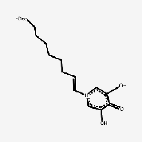 CCCCCCCCCCCCCCCCC=Cn1cc(O)c(=O)c(O)c1